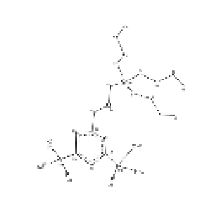 CCC[CH2][Sn]([CH2]CCC)([CH2]CCC)[CH2]OCc1cc(C(F)(F)F)cc(C(F)(F)F)c1